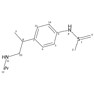 C=S(C)Nc1ccc(C(C)CNC(C)C)cc1